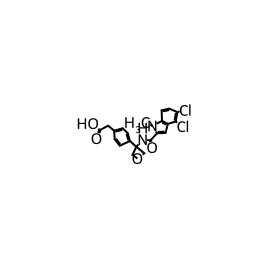 Cn1c(C(=O)NC2(c3ccc(CC(=O)O)cc3)COC2)cc2c(Cl)c(Cl)ccc21